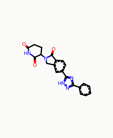 O=C1CCC(N2Cc3cc(-c4nc(-c5ccccc5)n[nH]4)ccc3C2=O)C(=O)N1